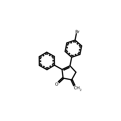 C=C1CC(c2ccc(Br)cc2)=C(c2ccccc2)C1=O